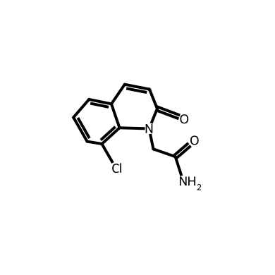 NC(=O)Cn1c(=O)ccc2cccc(Cl)c21